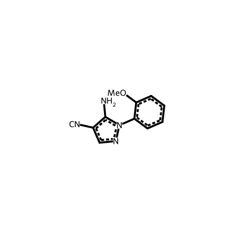 [C-]#[N+]c1cnn(-c2ccccc2OC)c1N